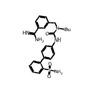 CCC(C)N(Cc1cccc(C(=N)N)c1)C(=O)Nc1ccc(-c2ccccc2S(N)(=O)=O)cc1